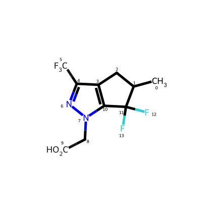 CC1Cc2c(C(F)(F)F)nn(CC(=O)O)c2C1(F)F